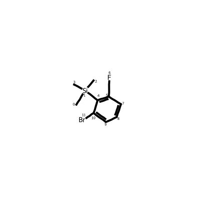 C[Si](C)(C)c1c(F)cccc1Br